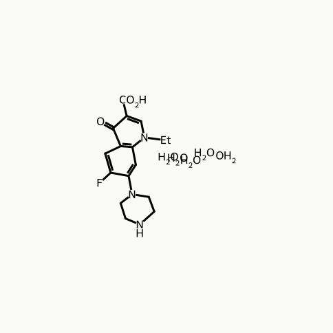 CCn1cc(C(=O)O)c(=O)c2cc(F)c(N3CCNCC3)cc21.O.O.O.O.O